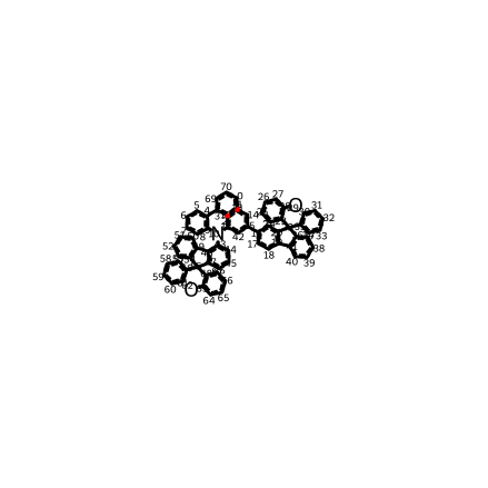 c1ccc(-c2ccccc2N(c2cccc(-c3ccc4c(c3)C3(c5ccccc5Oc5ccccc53)c3ccccc3-4)c2)c2cccc3c2-c2ccccc2C32c3ccccc3Oc3ccccc32)cc1